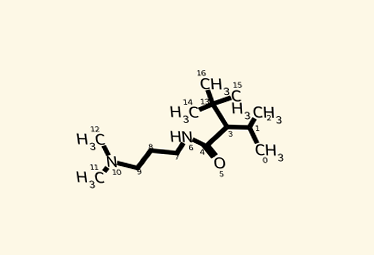 CC(C)C(C(=O)NCCCN(C)C)C(C)(C)C